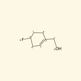 OCC1=CCC(F)CC1